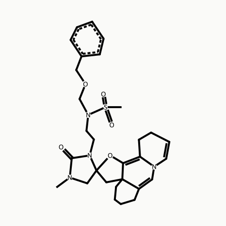 CN1CC2(CC34CCCCC3=CN3C=CCCC3=C4O2)N(CCN(COCc2ccccc2)S(C)(=O)=O)C1=O